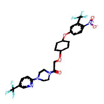 O=C(COC1CCC(Oc2ccc([N+](=O)[O-])c(C(F)(F)F)c2)CC1)N1CCN(c2ccc(C(F)(F)F)cn2)CC1